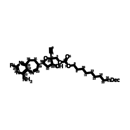 C#C[C@]1(COC(=O)OCCCCCCCCCCCCCCCCCC)O[C@@H](C2C=Nc3c(N)nc(F)nc3CC2)C[C@@H]1O